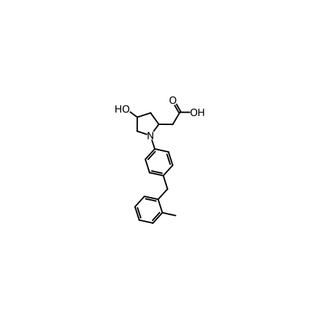 Cc1ccccc1Cc1ccc(N2CC(O)CC2CC(=O)O)cc1